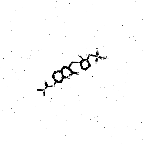 CNS(=O)(=O)Nc1cccc(Cc2cc3ccc(OC(=O)N(C)C)cc3oc2=O)c1F